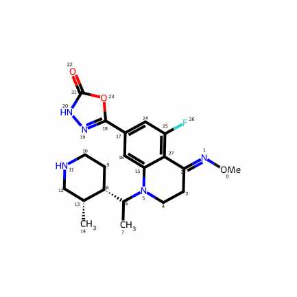 CO/N=C1\CCN(C(C)[C@H]2CCNC[C@H]2C)c2cc(-c3n[nH]c(=O)o3)cc(F)c21